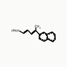 CCCCCCCCC/C=C/C=C(C)c1ccc2ccccc2c1